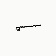 CCCCCCCCCCCCCCCCCCNC1CC(C)(C)NC(C)(C)C1